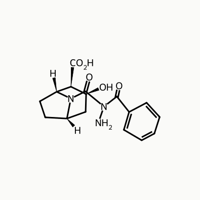 NN(C(=O)c1ccccc1)C(=O)N1[C@H]2CC[C@@H]1[C@@H](C(=O)O)[C@@H](O)C2